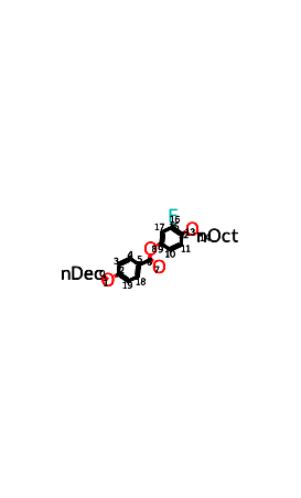 CCCCCCCCCCOc1ccc(C(=O)Oc2ccc(OCCCCCCCC)c(F)c2)cc1